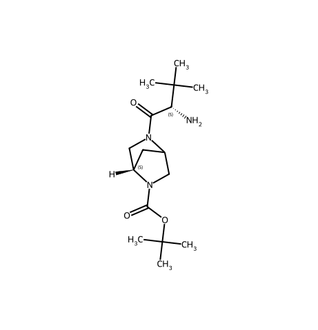 CC(C)(C)OC(=O)N1CC2C[C@H]1CN2C(=O)[C@@H](N)C(C)(C)C